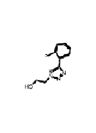 OCCn1nnc(-c2ccccc2F)n1